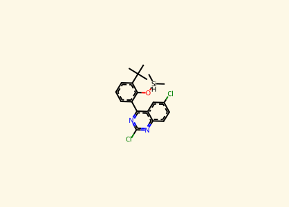 C[SiH](C)Oc1c(-c2nc(Cl)nc3ccc(Cl)cc23)cccc1C(C)(C)C